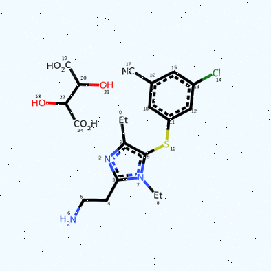 CCc1nc(CCN)n(CC)c1Sc1cc(Cl)cc(C#N)c1.O=C(O)C(O)C(O)C(=O)O